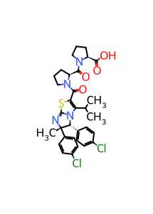 CC(C)C1=C(C(=O)N2CCC[C@H]2C(=O)N2CCC[C@H]2C(=O)O)SC2=N[C@@](C)(c3ccc(Cl)cc3)[C@@H](c3ccc(Cl)cc3)N21